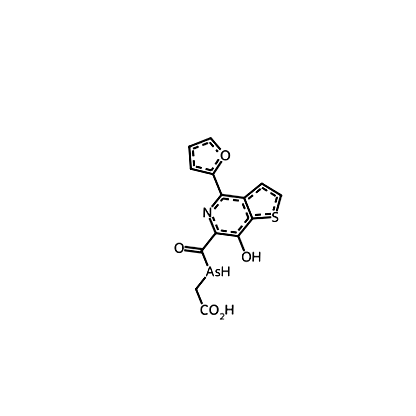 O=C(O)C[AsH]C(=O)c1nc(-c2ccco2)c2ccsc2c1O